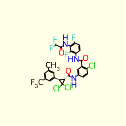 Cc1cc([C@H]2[C@H](C(=O)Nc3ccc(Cl)c(C(=O)Nc4ccc(F)c(NC(=O)C(F)F)c4F)c3)C2(Cl)Cl)cc(C(F)(F)F)c1